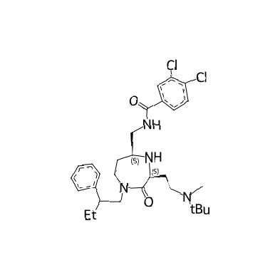 CCC(CN1CC[C@@H](CNC(=O)c2ccc(Cl)c(Cl)c2)N[C@@H](CCN(C)C(C)(C)C)C1=O)c1ccccc1